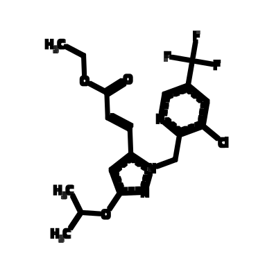 CCOC(=O)C=Cc1cc(OC(C)C)nn1Cc1ncc(C(F)(F)F)cc1Cl